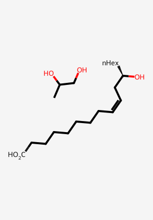 CC(O)CO.CCCCCC[C@@H](O)C/C=C\CCCCCCCC(=O)O